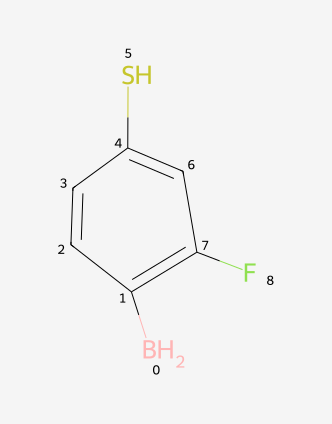 Bc1ccc(S)cc1F